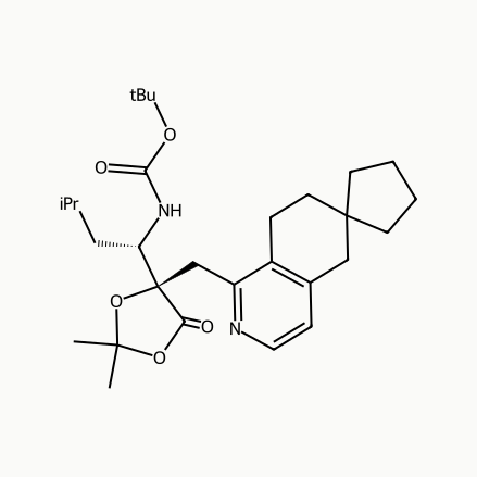 CC(C)C[C@H](NC(=O)OC(C)(C)C)[C@@]1(Cc2nccc3c2CCC2(CCCC2)C3)OC(C)(C)OC1=O